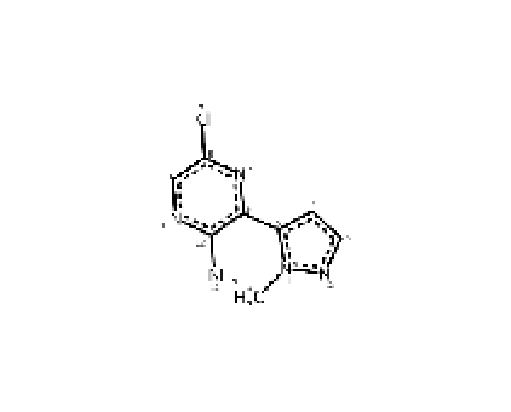 Cn1nccc1-c1nc(Cl)cnc1N